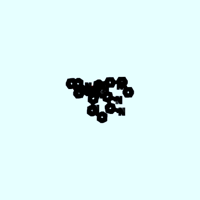 C=Cc1c(/C=C\Cc2cccc(-c3ccccc3)n2)c2ccc(-c3cccc(-c4ccccc4)n3)cc2n1-c1cc(-c2cccc(C#N)c2)c(C#N)cc1-n1c2cc(-c3cccc(-c4ccccc4)n3)ccc2c2ccc(-c3cccc(-c4ccccc4)n3)cc21